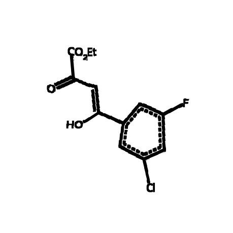 CCOC(=O)C(=O)/C=C(\O)c1cc(F)cc(Cl)c1